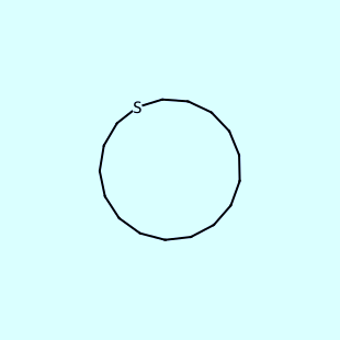 C1CCCCCCCCSCCCCCCC1